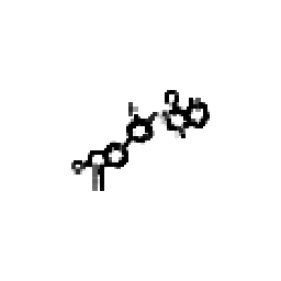 O=C1Cc2cc(-c3ccc(Cn4cnc5cccnc5c4=O)c(F)c3)ccc2N1